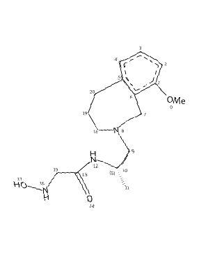 COc1cccc2c1CN(C[C@H](C)NC(=O)CNO)CCC2